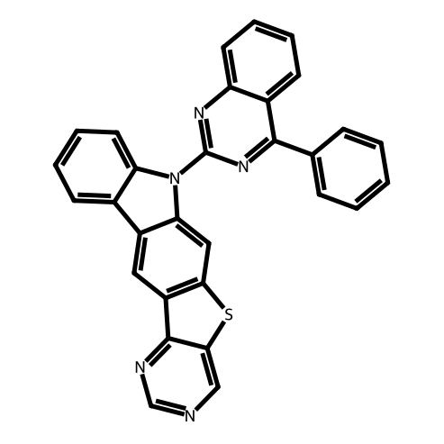 c1ccc(-c2nc(-n3c4ccccc4c4cc5c(cc43)sc3cncnc35)nc3ccccc23)cc1